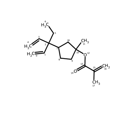 C=CC(C=C)(CC)C1CCC(C)(OC(=O)C(=C)C)C1